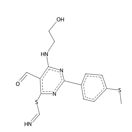 CSc1ccc(-c2nc(NCCO)c(C=O)c(SC=N)n2)cc1